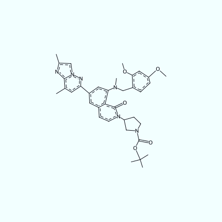 COc1ccc(CN(C)c2cc(-c3cc(C)c4nc(C)cn4n3)cc3ccn(C4CCN(C(=O)OC(C)(C)C)C4)c(=O)c23)c(OC)c1